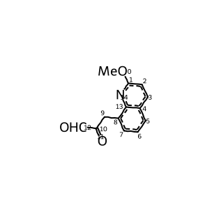 COc1ccc2cccc(CC(=O)C=O)c2n1